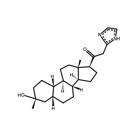 C[C@@]1(O)CC[C@H]2[C@H](CC[C@@H]3[C@@H]2CC[C@]2(C)[C@@H](C(=O)Cc4ncc[nH]4)CC[C@@H]32)C1